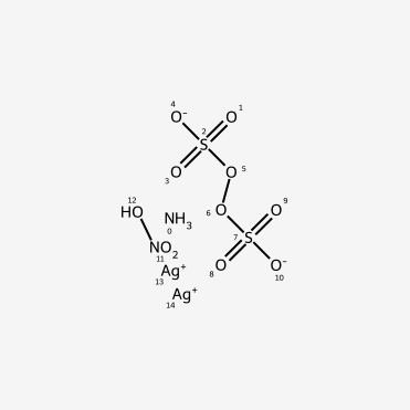 N.O=S(=O)([O-])OOS(=O)(=O)[O-].O=[N+]([O-])O.[Ag+].[Ag+]